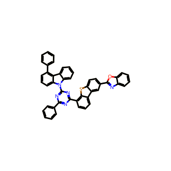 c1ccc(-c2nc(-c3cccc4c3sc3ccc(-c5nc6ccccc6o5)cc34)nc(-n3c4ccccc4c4c(-c5ccccc5)cccc43)n2)cc1